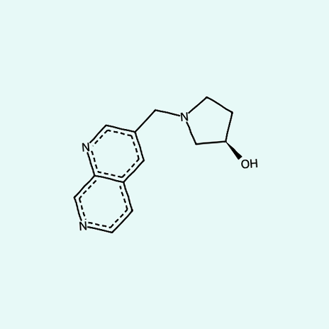 O[C@@H]1CCN(Cc2cnc3cnccc3c2)C1